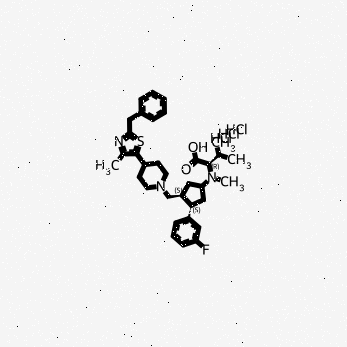 Cc1nc(Cc2ccccc2)sc1C1CCN(C[C@H]2CC(N(C)[C@@H](C(=O)O)C(C)C)C[C@@H]2c2cccc(F)c2)CC1.Cl.Cl.Cl